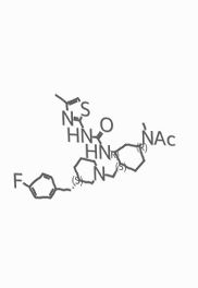 CC(=O)N(C)[C@@H]1CC[C@@H](CN2CCC[C@@H](Cc3ccc(F)cc3)C2)[C@H](NC(=O)Nc2nc(C)cs2)C1